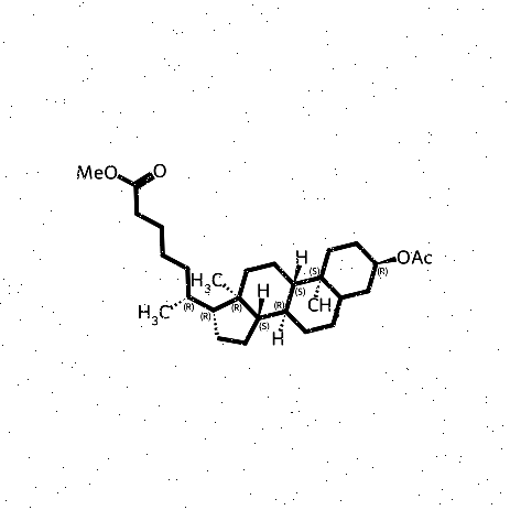 COC(=O)CCCC[C@@H](C)[C@H]1CC[C@H]2[C@@H]3CCC4C[C@H](OC(C)=O)CC[C@]4(C)[C@H]3CC[C@]12C